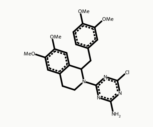 COc1ccc(CC2c3cc(OC)c(OC)cc3CCN2c2nc(N)nc(Cl)n2)cc1OC